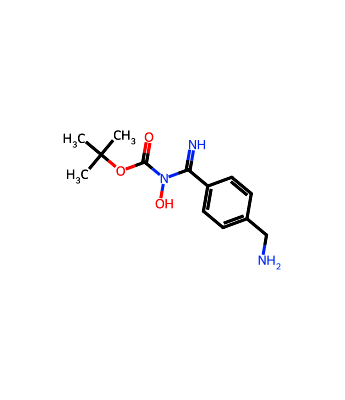 CC(C)(C)OC(=O)N(O)C(=N)c1ccc(CN)cc1